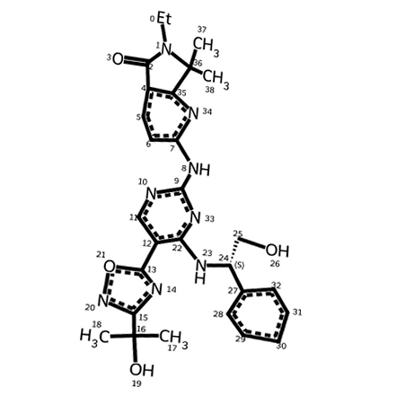 CCN1C(=O)c2ccc(Nc3ncc(-c4nc(C(C)(C)O)no4)c(N[C@H](CO)c4ccccc4)n3)nc2C1(C)C